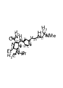 CCc1nc(C(N)=O)c(Nc2ccnc(CCNC[C@H](C)NC)c2)nc1N(C)C(C)C